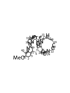 COc1ccc2c(C[C@@H]3C[C@H]4C(=O)N[C@]5(C(=O)O)C[C@H]5/C=C\CCCCN(C)C(=O)[C@@H]4C3)cc(-n3ccc(C(C)C)n3)nc2c1C